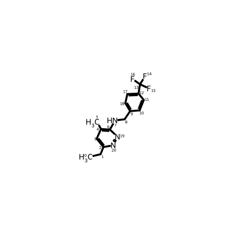 CCc1cc(C)c(NCc2ccc(C(F)(F)F)cc2)nn1